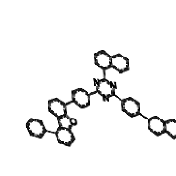 c1ccc(-c2cccc3oc4c(-c5ccc(-c6nc(-c7ccc(-c8ccc9ccccc9c8)cc7)nc(-c7cccc8ccccc78)n6)cc5)cccc4c23)cc1